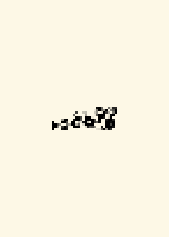 COc1cc(N2CCC(N3CCN(C4CC4)CC3)CC2)c([N+](=O)[O-])cc1Nc1cc(N2OCCC2c2ccccc2)ncn1